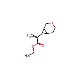 C=C(C(=O)OCC)C1C2CCOCC21